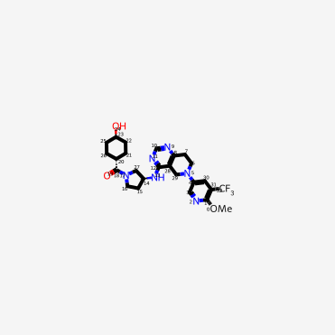 COc1ncc(N2CCc3ncnc(N[C@H]4CCN(C(=O)[C@H]5CC[C@H](O)CC5)C4)c3C2)cc1C(F)(F)F